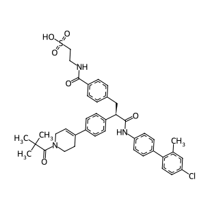 Cc1cc(Cl)ccc1-c1ccc(NC(=O)[C@H](Cc2ccc(C(=O)NCCS(=O)(=O)O)cc2)c2ccc(C3=CCN(C(=O)C(C)(C)C)CC3)cc2)cc1